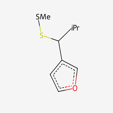 CSSC(c1ccoc1)C(C)C